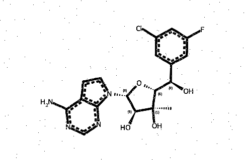 C[C@@]1(O)[C@@H]([C@H](O)c2cc(F)cc(Cl)c2)O[C@@H](n2ccc3c(N)ncnc32)[C@@H]1O